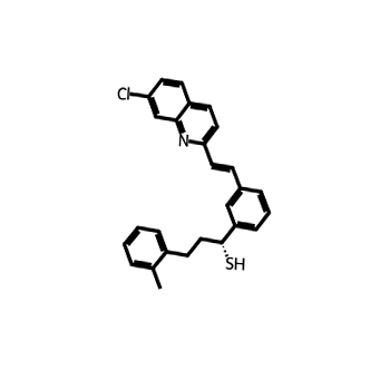 Cc1ccccc1CC[C@@H](S)c1cccc(/C=C/c2ccc3ccc(Cl)cc3n2)c1